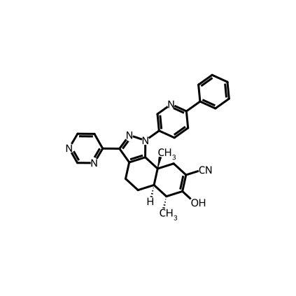 C[C@H]1C(O)=C(C#N)C[C@@]2(C)c3c(c(-c4ccncn4)nn3-c3ccc(-c4ccccc4)nc3)CC[C@H]12